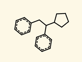 c1ccc(C[C](c2ccccc2)C2CCCC2)cc1